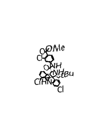 COC(=O)c1ccc(NC(=O)[C@@H]2N[C@@H](CC(C)(C)C)[C@@]3(C(=O)Nc4cc(Cl)ccc43)[C@H]2c2cccc(Cl)c2F)cc1Cl